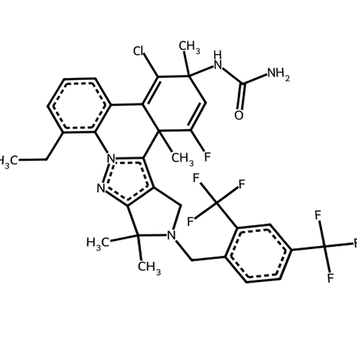 CCc1cccc2c1-n1nc3c(c1C1(C)C(F)=CC(C)(NC(N)=O)C(Cl)=C21)CN(Cc1ccc(C(F)(F)F)cc1C(F)(F)F)C3(C)C